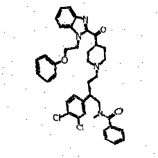 CN(CC(CCN1CCC(C(=O)c2nc3ccccc3n2CCOc2ccccc2)CC1)c1ccc(Cl)c(Cl)c1)C(=O)c1ccccc1